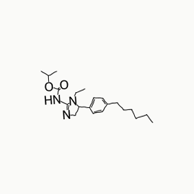 CCCCCCc1ccc(C2CN=C(NC(=O)OC(C)C)N2CC)cc1